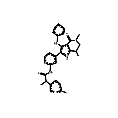 CC1CN(C)C(=O)c2c1[nH]c(-c1ccnc(NC(=O)C(C)c3ccc(F)cc3)c1)c2Nc1ccccc1